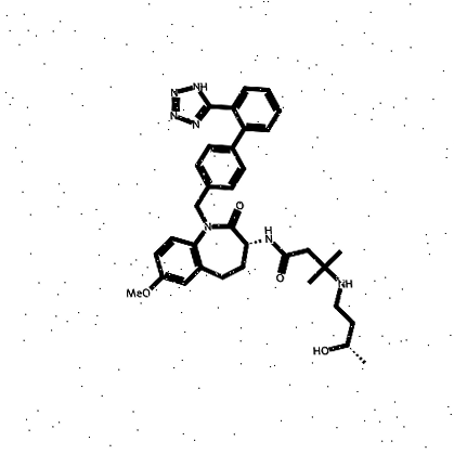 COc1ccc2c(c1)CC[C@@H](NC(=O)CC(C)(C)NCC[C@H](C)O)C(=O)N2Cc1ccc(-c2ccccc2-c2nnn[nH]2)cc1